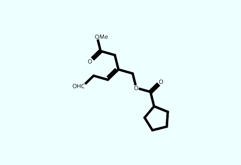 COC(=O)CC(=CCC=O)COC(=O)C1CCCC1